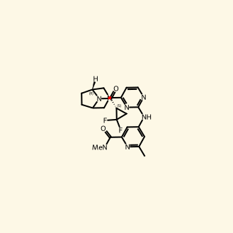 CNC(=O)c1cc(Nc2nccc(N3CC4CC[C@H](C3)N4C(=O)[C@@H]3CC3(F)F)n2)cc(C)n1